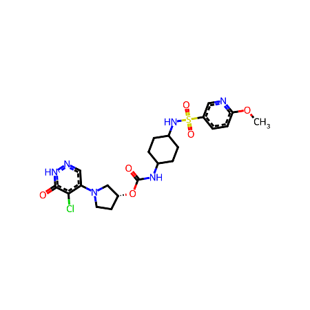 COc1ccc(S(=O)(=O)NC2CCC(NC(=O)O[C@@H]3CCN(c4cn[nH]c(=O)c4Cl)C3)CC2)cn1